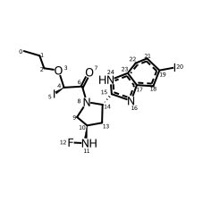 CCCO[C@H](I)C(=O)N1C[C@H](NF)C[C@H]1c1nc2cc(I)ccc2[nH]1